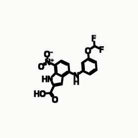 O=C(O)c1cc2c(Nc3cccc(OC(F)F)c3)ccc([N+](=O)[O-])c2[nH]1